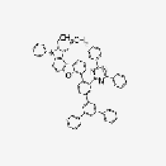 C=C/C=c1\c(=C/C)n(-c2ccccc2)c2ccc3oc4c(-c5ccc(-c6cc(-c7ccccc7)cc(-c7ccccc7)c6)cc5-c5nc(-c6ccccc6)nc(-c6ccccc6)n5)cccc4c3c12